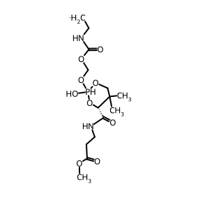 [CH2]CNC(=O)OCO[PH]1(O)OCC(C)(C)[C@H](C(=O)NCCC(=O)OC)O1